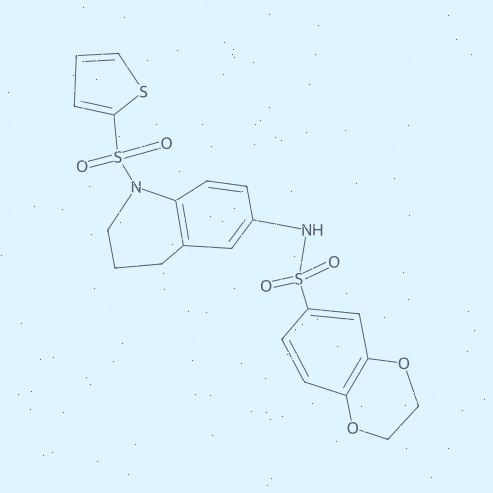 O=S(=O)(Nc1ccc2c(c1)CCCN2S(=O)(=O)c1cccs1)c1ccc2c(c1)OCCO2